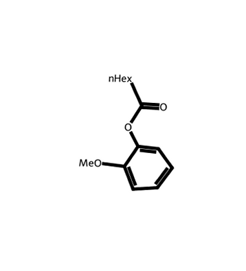 CCCCCCC(=O)Oc1ccccc1OC